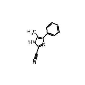 Cc1[nH]c(C#N)nc1-c1ccccc1